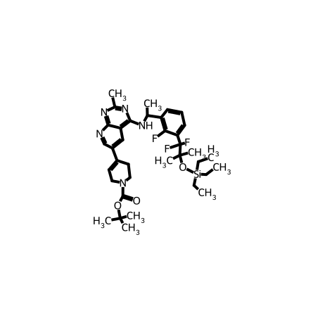 CC[Si](CC)(CC)OC(C)(C)C(F)(F)c1cccc(C(C)Nc2nc(C)nc3ncc(C4=CCN(C(=O)OC(C)(C)C)CC4)cc23)c1F